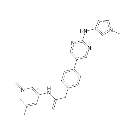 C=N/C=C(\C=C(C)C)NC(=C)Cc1ccc(-c2cnc(Nc3ccn(C)c3)nc2)cc1